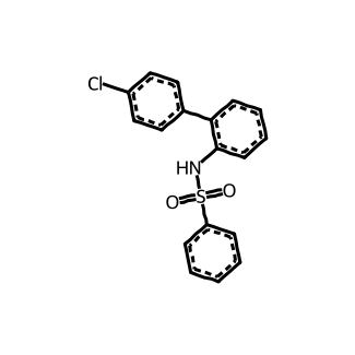 O=S(=O)(Nc1ccccc1-c1ccc(Cl)cc1)c1ccccc1